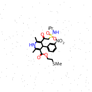 CSCCOC(=O)C1=C(C)NC(C)=C(C(=O)CS(=O)(=O)NC(C)C)C1c1cccc([N+](=O)[O-])c1